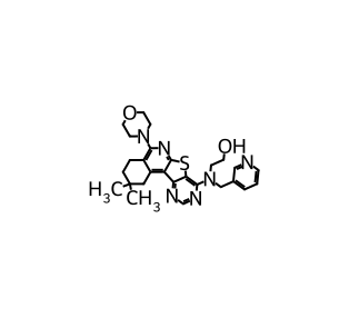 CC1(C)CCc2c(N3CCOCC3)nc3sc4c(N(CCO)Cc5cccnc5)ncnc4c3c2C1